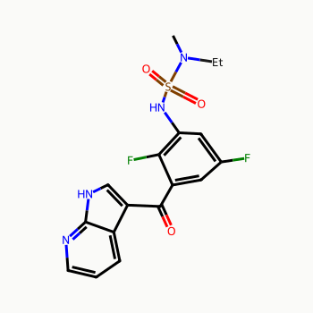 CCN(C)S(=O)(=O)Nc1cc(F)cc(C(=O)c2c[nH]c3ncccc23)c1F